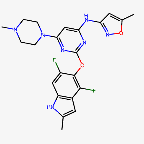 Cc1cc2c(F)c(Oc3nc(Nc4cc(C)on4)cc(N4CCN(C)CC4)n3)c(F)cc2[nH]1